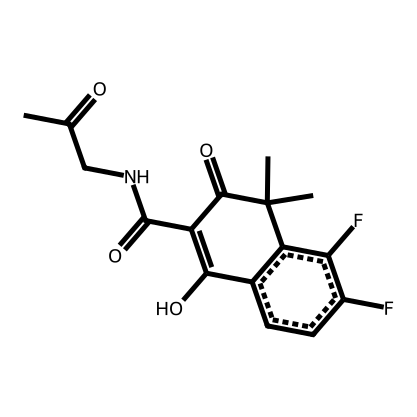 CC(=O)CNC(=O)C1=C(O)c2ccc(F)c(F)c2C(C)(C)C1=O